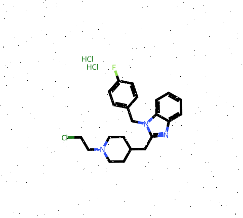 Cl.Cl.Fc1ccc(Cn2c(CC3CCN(CCCl)CC3)nc3ccccc32)cc1